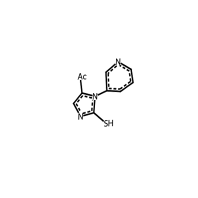 CC(=O)c1cnc(S)n1-c1cccnc1